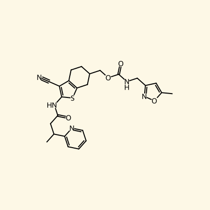 Cc1cc(CNC(=O)OCC2CCc3c(sc(NC(=O)CC(C)c4ccccn4)c3C#N)C2)no1